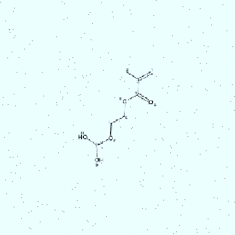 C=C(C)C(=O)OCCOP(O)O